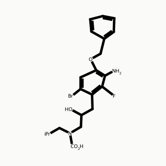 CC(C)CN(CC(O)Cc1c(Br)cc(OCc2ccccc2)c(N)c1F)C(=O)O